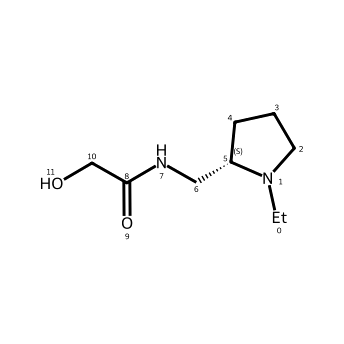 CCN1CCC[C@H]1CNC(=O)CO